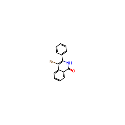 O=c1[nH]c(-c2ccccc2)c(Br)c2ccccc12